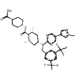 C[C@@H]1C[C@H](N(Cc2cc(C(F)(F)F)cc(C(F)(F)F)c2)c2ncc(-c3cnn(C)c3)cn2)C[C@H](C)N1C(=O)O[C@H]1CC[C@H](C(=O)O)CC1